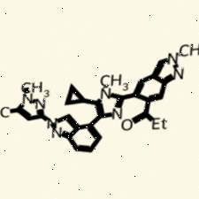 CCC(=O)c1cc2nn(C)cc2cc1-c1nc(-c2cccc3nn(-c4cc(C(F)(F)F)n(C)n4)cc23)c(C2CC2)n1C